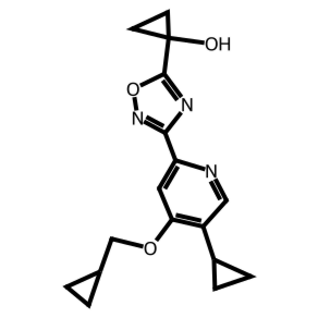 OC1(c2nc(-c3cc(OCC4CC4)c(C4CC4)cn3)no2)CC1